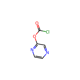 O=C(Cl)Oc1cnccn1